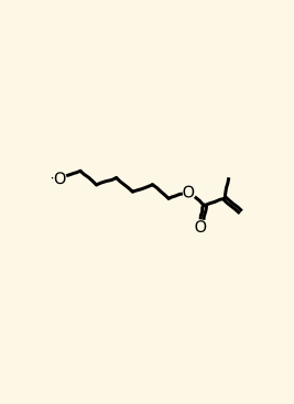 C=C(C)C(=O)OCCCCCC[O]